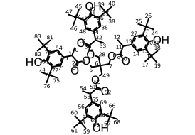 CC(C(=O)OCC(COC(=O)C(C)c1cc(C(C)(C)C)c(O)c(C(C)(C)C)c1)(COC(=O)C(C)c1cc(C(C)(C)C)c(O)c(C(C)(C)C)c1)COC(=O)C(C)c1cc(C(C)(C)C)c(O)c(C(C)(C)C)c1)c1cc(C(C)(C)C)c(O)c(C(C)(C)C)c1